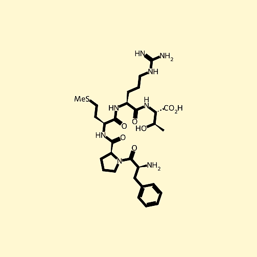 CSCC[C@H](NC(=O)[C@@H]1CCCN1C(=O)[C@@H](N)Cc1ccccc1)C(=O)N[C@@H](CCCNC(=N)N)C(=O)N[C@H](C(=O)O)[C@@H](C)O